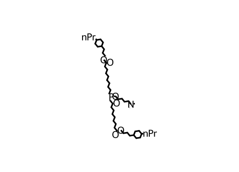 CCCC1CCC(CCCOC(=O)CCCCCCCCCP(CCCCCCCCCC(=O)OCCCC2CCC(CCC)CC2)OC(=O)CCCN(C)C)CC1